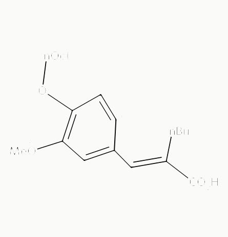 CCCCCCCCOc1ccc(/C=C(\CCCC)C(=O)O)cc1OC